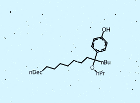 CCCCCCCCCCCCCCCCCC(CCCC)(OCCC)c1ccc(O)cc1